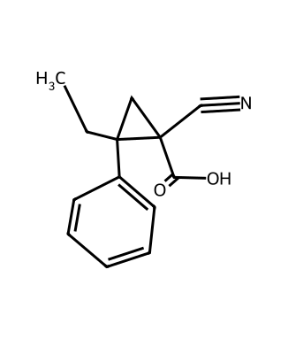 CCC1(c2ccccc2)CC1(C#N)C(=O)O